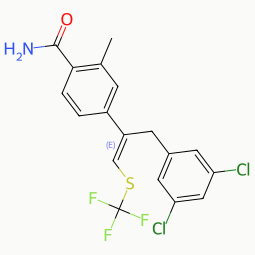 Cc1cc(/C(=C/SC(F)(F)F)Cc2cc(Cl)cc(Cl)c2)ccc1C(N)=O